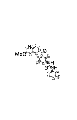 COc1cnc2ccc(C(=O)c3cc(F)cc(NC(=O)Nc4cccc(F)c4)c3F)cc2c1